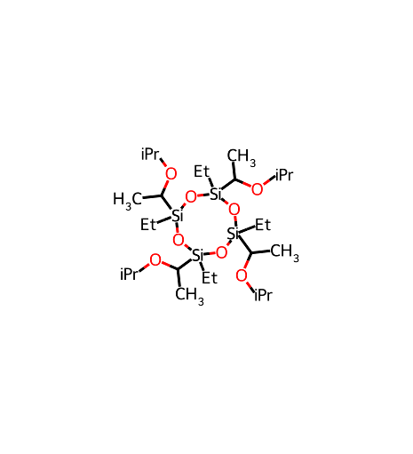 CC[Si]1(C(C)OC(C)C)O[Si](CC)(C(C)OC(C)C)O[Si](CC)(C(C)OC(C)C)O[Si](CC)(C(C)OC(C)C)O1